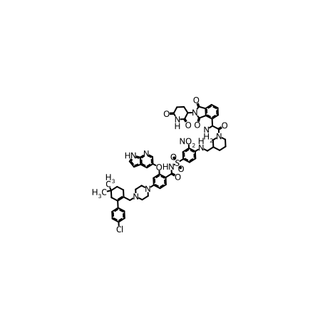 CC1(C)CCC(CN2CCN(c3ccc(C(=O)NS(=O)(=O)c4ccc(NCC5CCCN(C(=O)C(N)c6cccc7c6C(=O)N(C6CCC(=O)NC6=O)C7=O)C5)c([N+](=O)[O-])c4)c(Oc4cnc5[nH]ccc5c4)c3)CC2)=C(c2ccc(Cl)cc2)C1